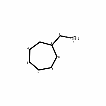 [CH2]C(C)(C)CC1CCCCCC1